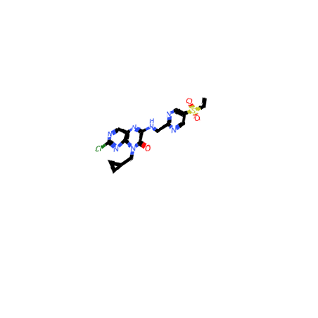 CCS(=O)(=O)c1cnc(CNc2nc3cnc(Cl)nc3n(CC3CC3)c2=O)nc1